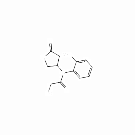 COc1ccccc1N(C(=O)CO)C1COC(=O)C1